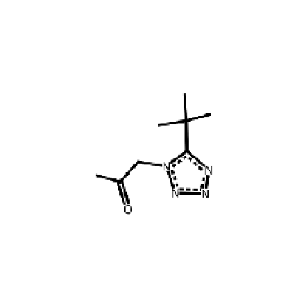 CC(=O)Cn1nnnc1C(C)(C)C